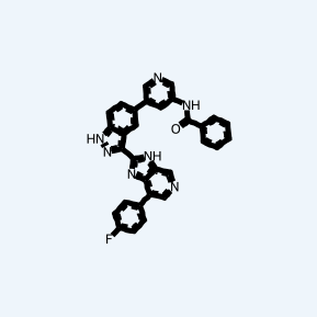 O=C(Nc1cncc(-c2ccc3[nH]nc(-c4nc5c(-c6ccc(F)cc6)cncc5[nH]4)c3c2)c1)c1ccccc1